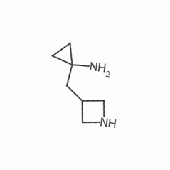 NC1(CC2CNC2)CC1